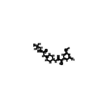 COc1cc(F)cc(C(=O)NCC2CCN(CC(=O)NCC(C)(C)F)CC2)c1